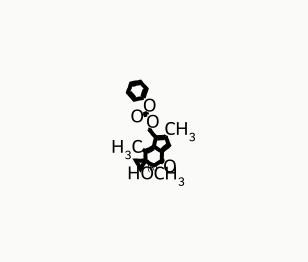 CC1=C(COC(=O)Oc2ccccc2)C2=C(C)C3(CC3)[C@@](C)(O)C(=O)C2=C1